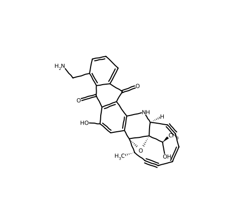 C[C@@H](O)[C@@]12O[C@]13c1cc(O)c4c(c1N[C@H]2C#C/C=C\C#C[C@@H]3C)C(=O)c1cccc(CN)c1C4=O